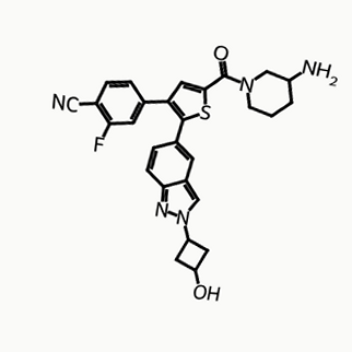 N#Cc1ccc(-c2cc(C(=O)N3CCCC(N)C3)sc2-c2ccc3nn(C4CC(O)C4)cc3c2)cc1F